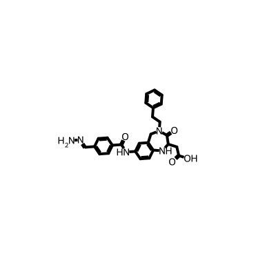 NN=Cc1ccc(C(=O)Nc2ccc3c(c2)CN(CCc2ccccc2)C(=O)C(CC(=O)O)N3)cc1